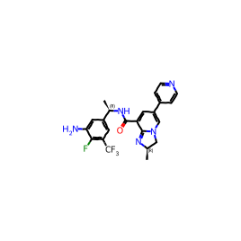 C[C@@H]1CN2C=C(c3ccncc3)C=C(C(=O)N[C@H](C)c3cc(N)c(F)c(C(F)(F)F)c3)C2=N1